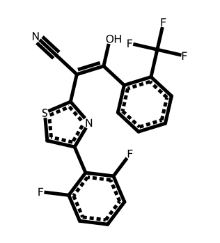 N#C/C(=C(\O)c1ccccc1C(F)(F)F)c1nc(-c2c(F)cccc2F)cs1